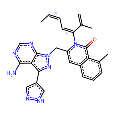 C=C(C)/C(=C\C=C/C)n1c(Cn2nc(-c3cn[nH]c3)c3c(N)ncnc32)cc2cccc(C)c2c1=O